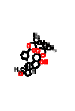 CC1(C)COC(c2cccc([C@H]3C[C@@]4(C)C(=O)CC[C@H]4[C@@H]4CC[C@@]5(O)CC6(CCC5=C43)OCC(C)(C)CO6)c2)OC1